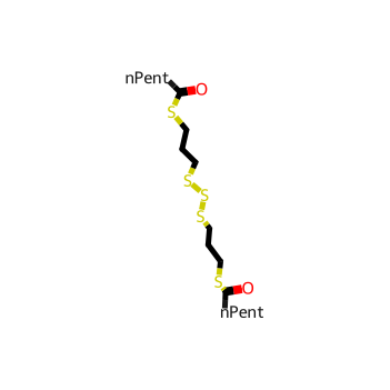 CCCCCC(=O)SCCCSSSCCCSC(=O)CCCCC